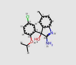 Cc1ccc2c(c1)C(O)(c1cc(Cl)ccc1OC(C)C)C(N)=N2